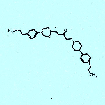 CCCc1ccc(C2CCC(CCC(=O)CC[C@H]3CC[C@H](c4ccc(CCC)cc4)CC3)CC2)cc1